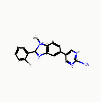 CC(=O)c1ccccc1C1Nc2cc(-c3cnc(N)nc3)ccc2N1C(C)(C)C